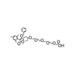 Cc1cc(C)c(C2=C(OCc3ccccc3)[C@]3(CC[C@H](OCCOCCOCCOCCOCC(=O)O)CC3)OC2=O)c(C)c1